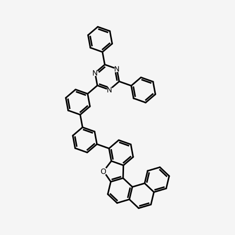 c1ccc(-c2nc(-c3ccccc3)nc(-c3cccc(-c4cccc(-c5cccc6c5oc5ccc7ccc8ccccc8c7c56)c4)c3)n2)cc1